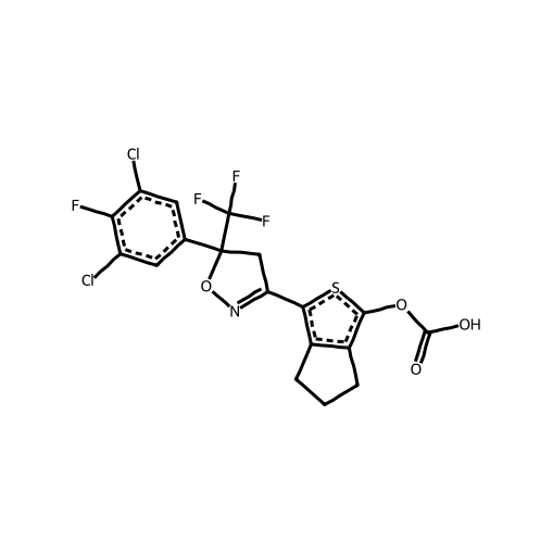 O=C(O)Oc1sc(C2=NOC(c3cc(Cl)c(F)c(Cl)c3)(C(F)(F)F)C2)c2c1CCC2